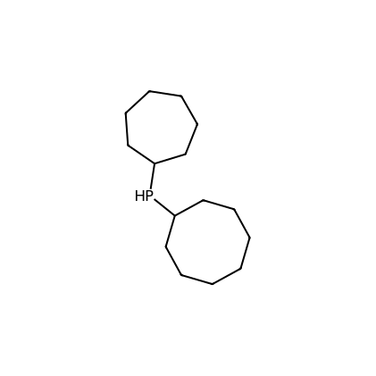 C1CCCC(PC2CCCCCC2)CCC1